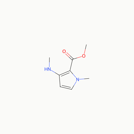 CNc1ccn(C)c1C(=O)OC